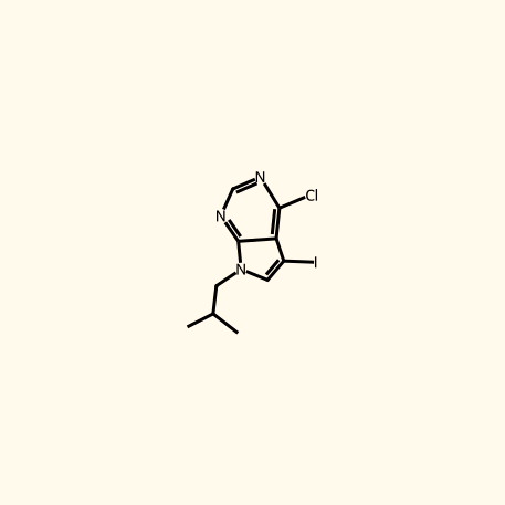 CC(C)Cn1cc(I)c2c(Cl)ncnc21